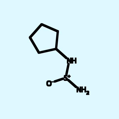 N[S+]([O-])NC1CCCC1